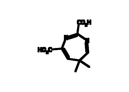 CC1(C)C=NC(C(=O)O)=NC(C(=O)O)=C1